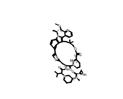 CCn1c(-c2cccnc2[C@H](C)OC)c2c3cc(ccc31)-c1csc(n1)C[C@H](NC(=O)C(C(C)C)N1CCC[C@H](N(C)C(=O)[C@H]3CN3)C1)C(=O)N1CCC[C@H](N1)C(=O)OCC(C)(C)C2